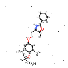 CCCc1cc(OCCc2nc(-c3ccccc3)oc2C)cc(CCC)c1OC(C)(C)C(=O)O